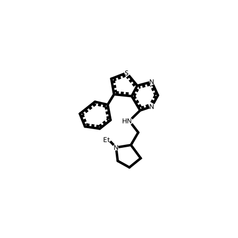 CCN1CCCC1CNc1ncnc2scc(-c3ccccc3)c12